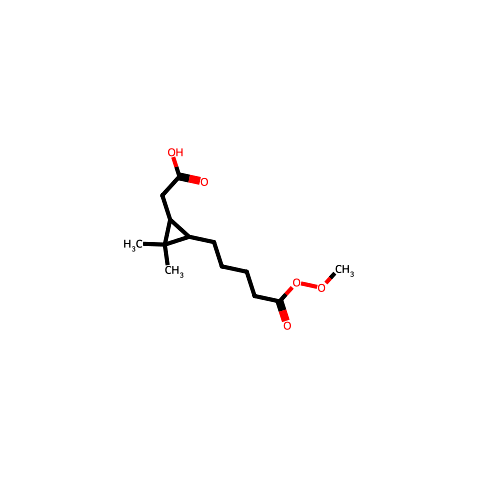 COOC(=O)CCCCC1C(CC(=O)O)C1(C)C